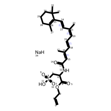 C=CCOC(=O)C(CS(=O)(=O)O)NC(=O)/C=C(C)/C=C/C=C(C)\C=C\C1=C(C)CCCC1(C)C.[NaH]